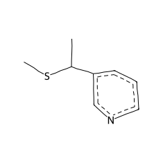 CSC(C)c1cccnc1